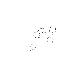 CC1(C)OB(c2ccc3oc4cc5cccc6c5c(c4c3c2)-c2ccccc2-6)OC1(C)C